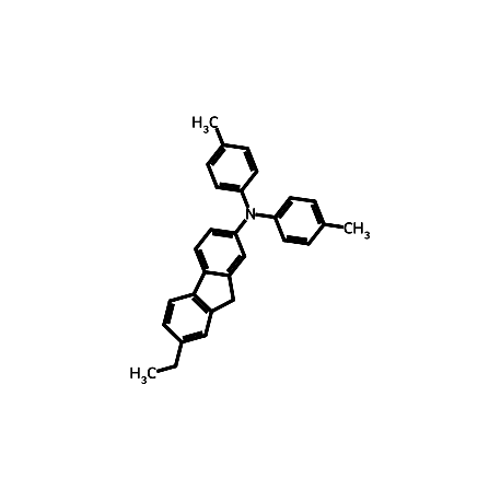 CCc1ccc2c(c1)Cc1cc(N(c3ccc(C)cc3)c3ccc(C)cc3)ccc1-2